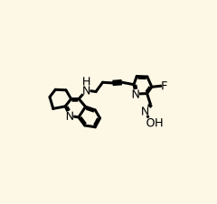 ON=Cc1nc(C#CCCNc2c3c(nc4ccccc24)CCCC3)ccc1F